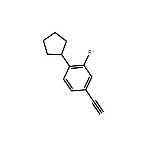 C#Cc1ccc(C2CCCC2)c(Br)c1